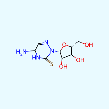 NC1C=NN([C@@H]2O[C@H](CO)C(O)C2O)C(=S)N1